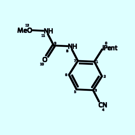 CCCC(C)c1cc(C#N)ccc1NC(=O)NOC